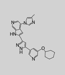 Cc1cn(-c2cncc3[nH]c(-c4cc(-c5cncc(OC6CCCCC6)c5)[nH]n4)cc23)cn1